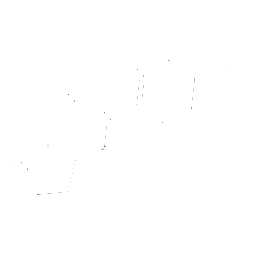 Cc1ccc(N(C#N)C(=O)C2CCNC2)nc1